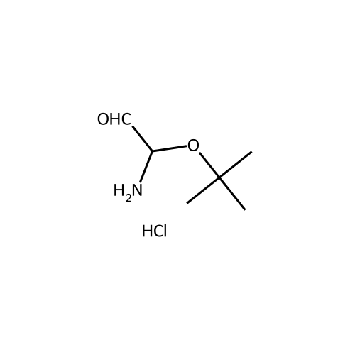 CC(C)(C)OC(N)C=O.Cl